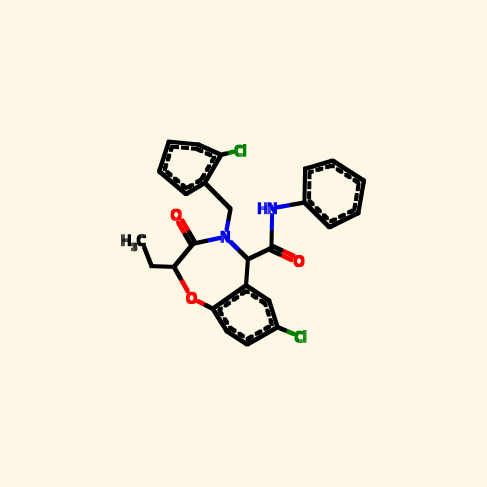 CCC1Oc2ccc(Cl)cc2C(C(=O)Nc2ccccc2)N(Cc2ccccc2Cl)C1=O